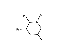 CC(=O)N1CC(C)CC(C(C)C)C1C(C)C